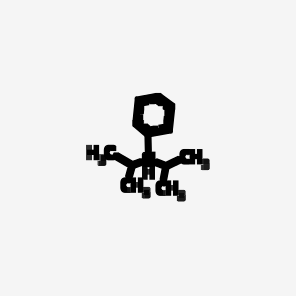 CC(C)[SiH](c1ccccc1)C(C)C